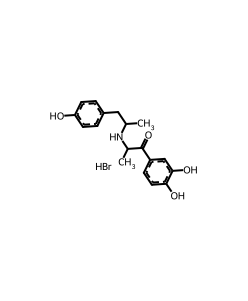 Br.CC(Cc1ccc(O)cc1)NC(C)C(=O)c1ccc(O)c(O)c1